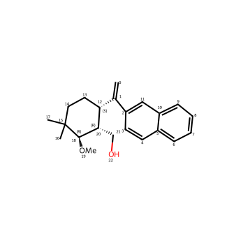 C=C(c1ccc2ccccc2c1)[C@H]1CCC(C)(C)[C@H](OC)[C@H]1CO